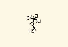 SCOC(Cl)(Cl)Cl